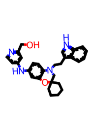 OCc1cc(Nc2ccc3c(c2)OC2(CCCCC2)CN3CCc2c[nH]c3ccccc23)ccn1